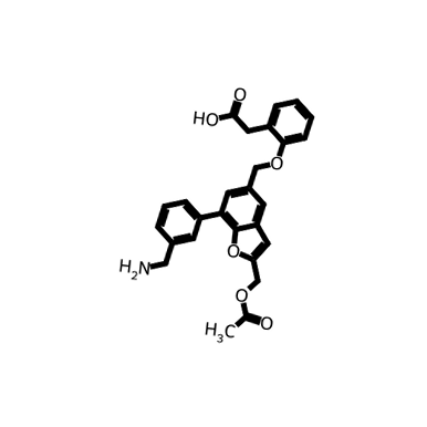 CC(=O)OCc1cc2cc(COc3ccccc3CC(=O)O)cc(-c3cccc(CN)c3)c2o1